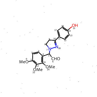 COc1ccc(C(C=O)N2CCC(c3ccc(O)cc3)=N2)c(OC)c1OC